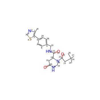 Cc1ncsc1-c1ccc(CNC(=O)C2CC(=O)NCN2C(=O)CC(C)(C)C)cc1